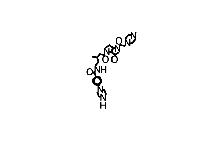 CC(CCNC(=O)c1ccc(N2CCNCC2)cc1)CC(=O)N1CCC2C1C(=O)CN2C(=O)CN1CCN(C)CC1